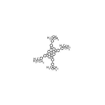 CC(C)(C)c1ccc(-c2ccc3c(c2)c2cc4c5cc(-c6ccc(C(C)(C)C)cc6)ccc5n5c4c4c2n3-c2ccc3c6c2B4c2c-5ccc4c2B6c2c5c(cc6c7cc(-c8ccc(C(C)(C)C)cc8)ccc7n-4c26)c2cc(-c4ccc(C(C)(C)C)cc4)ccc2n5-3)cc1